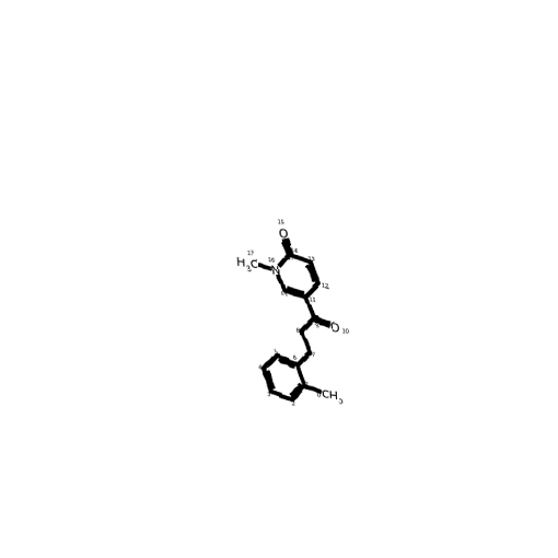 Cc1ccccc1[CH]CC(=O)c1ccc(=O)n(C)c1